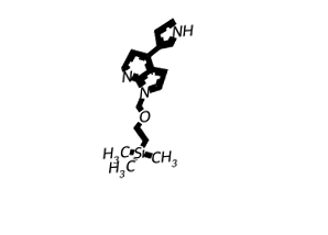 C[Si](C)(C)CCOCn1ccc2c(-c3cc[nH]c3)ccnc21